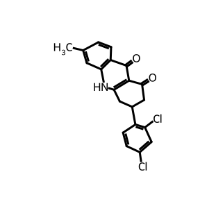 Cc1ccc2c(=O)c3c([nH]c2c1)CC(c1ccc(Cl)cc1Cl)CC3=O